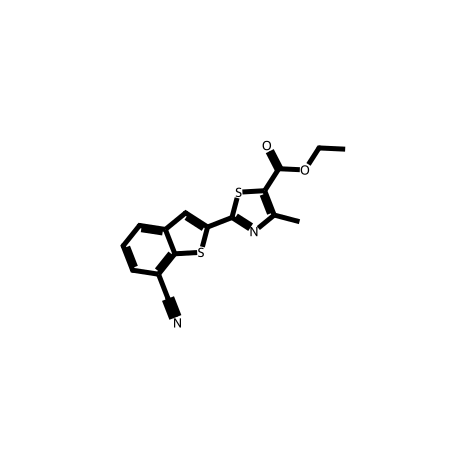 CCOC(=O)c1sc(-c2cc3cccc(C#N)c3s2)nc1C